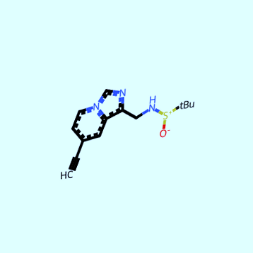 C#Cc1ccn2cnc(CN[S+]([O-])C(C)(C)C)c2c1